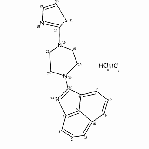 Cl.Cl.c1cc2c3c(cccc3c1)C(N1CCN(c3nccs3)CC1)=N2